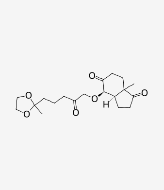 CC1(CCCC(=O)CO[C@H]2C(=O)CCC3(C)C(=O)CC[C@@H]23)OCCO1